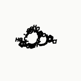 C[C@@H]1[C@@H](C)CCC[C@](O)(CN2CC[C@@H](O)C2)[C@H]2CC[C@H]2CN2CCCCc3cc(Cl)ccc3COc3ccc(cc32)C(=O)NS1(=O)=O